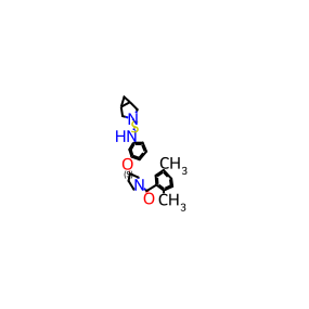 Cc1ccc(C)c(C(=O)N2CC[C@H](Oc3cccc(NSN4CC5CC5C4)c3)C2)c1